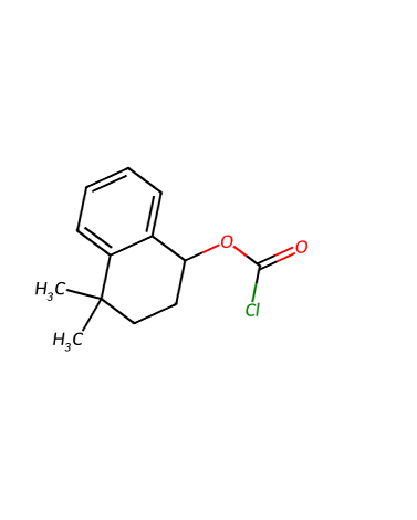 CC1(C)CCC(OC(=O)Cl)c2ccccc21